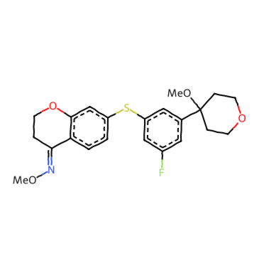 CON=C1CCOc2cc(Sc3cc(F)cc(C4(OC)CCOCC4)c3)ccc21